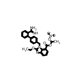 CCOc1nc2cccc(C(=O)OC(C)O[N+](=O)[O-])c2n1Cc1ccc(-c2ccccc2C(=N)N)cc1